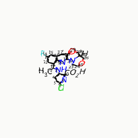 C[C@@H](Nc1ccc(Cl)nc1C(=O)O)c1cc(F)cc2cc3c(nc12)N1CCOC[C@H]1CO3